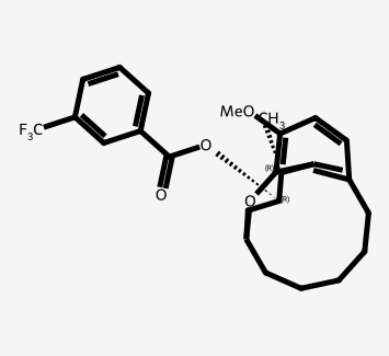 COc1ccc2c3c1OC(CCCCC2)C[C@@H](OC(=O)c1cccc(C(F)(F)F)c1)[C@@H]3C